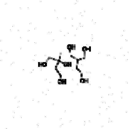 CC(O)(CO)CCO.OCCC(CO)CO